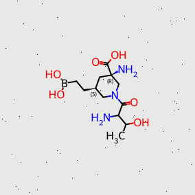 CC(O)C(N)C(=O)N1C[C@@H](CCB(O)O)C[C@](N)(C(=O)O)C1